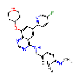 C=C(/C=C\C(C)=N/C)CNc1ncnc2c(OC3CCOCC3)cc(-c3ccc(F)cn3)cc12